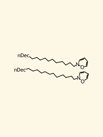 CCCCCCCCCCCCCCCCCCCCCCN1C=CC=CO1.CCCCCCCCCCCCCCCCCCCCCN1C=CC=CO1